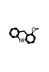 COc1c[c]ccc1Cc1ccccc1N